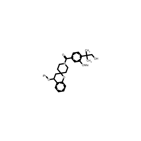 COc1cc(C(=O)N2CCC3(CC2)CC(OC(C)C)c2ccccc2O3)ccc1C(C)(C)CO